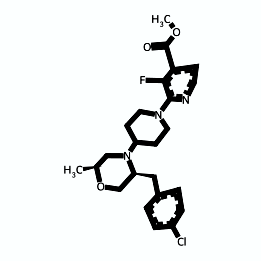 COC(=O)c1ccnc(N2CCC(N3C[C@H](C)OC[C@@H]3Cc3ccc(Cl)cc3)CC2)c1F